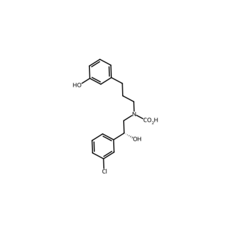 O=C(O)N(CCCc1cccc(O)c1)C[C@H](O)c1cccc(Cl)c1